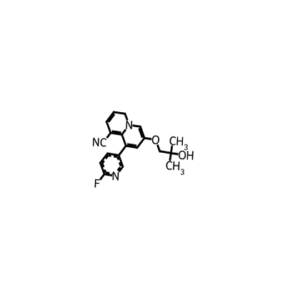 CC(C)(O)COC1=CN2CC=CC(C#N)=C2C(c2ccc(F)nc2)=C1